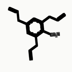 C=CCc1cc(CC=C)c(C(=O)O)c(CC=C)c1